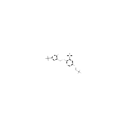 CCS(=O)(=O)c1cc(OCC(C)(F)F)cnc1NCc1cc(C(F)(F)C(F)(F)F)sc1C(=O)O